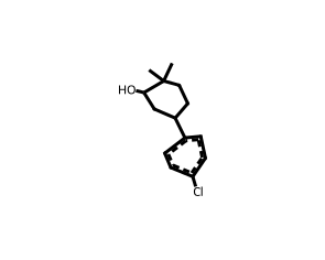 CC1(C)CCC(c2ccc(Cl)cc2)CC1O